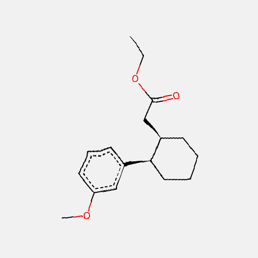 CCOC(=O)C[C@H]1CCCC[C@H]1c1cccc(OC)c1